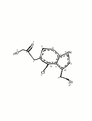 O=C(O)Cc1ccc2[nH]cc(CS)c2c1Cl